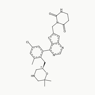 Cc1cc(Cl)cc(-c2ncnc3cc(CN4C(=O)CCNC4=O)sc23)c1C[C@@H]1CNCC(C)(C)O1